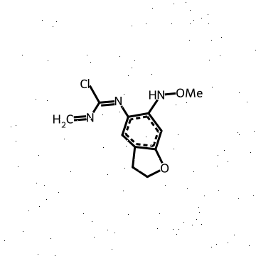 C=N/C(Cl)=N\c1cc2c(cc1NOC)OCC2